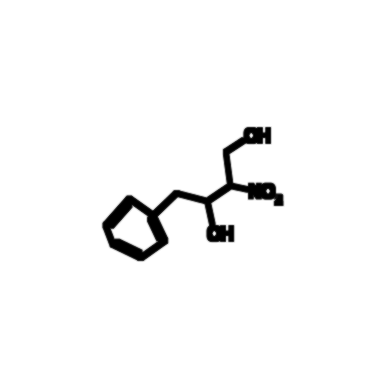 O=[N+]([O-])C(CO)C(O)Cc1ccccc1